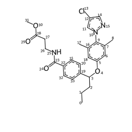 CCCC(Oc1cc(C)c(-n2cc(Cl)cn2)c(C)c1)c1ccc(C(=O)NCCC(=O)OC)cc1